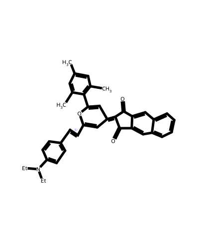 CCN(CC)c1ccc(/C=C/C2=CC(=C3C(=O)c4cc5ccccc5cc4C3=O)C=C(c3c(C)cc(C)cc3C)O2)cc1